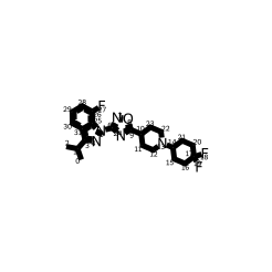 CC(C)c1nn(-c2noc(C3CCN(C4CCC(F)(F)CC4)CC3)n2)c2c(F)cccc12